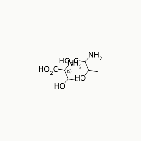 CC(O)C(N)C(=O)O.CC(O)[C@H](N)C(=O)O